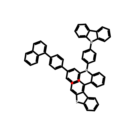 c1cc(-c2ccc(-c3cccc4ccccc34)cc2)cc(N(c2ccc(-n3c4ccccc4c4ccccc43)cc2)c2ccccc2-c2cccc3sc4ccccc4c23)c1